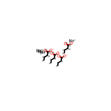 CCCC(=O)[O-].CCCC(=O)[O-].CCCC(=O)[O-].CCCC(=O)[O-].[Na+].[Na+].[Na+].[Na+]